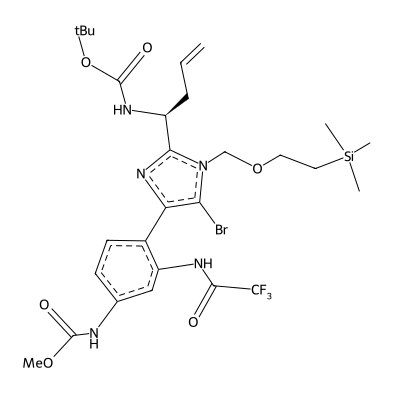 C=CC[C@H](NC(=O)OC(C)(C)C)c1nc(-c2ccc(NC(=O)OC)cc2NC(=O)C(F)(F)F)c(Br)n1COCC[Si](C)(C)C